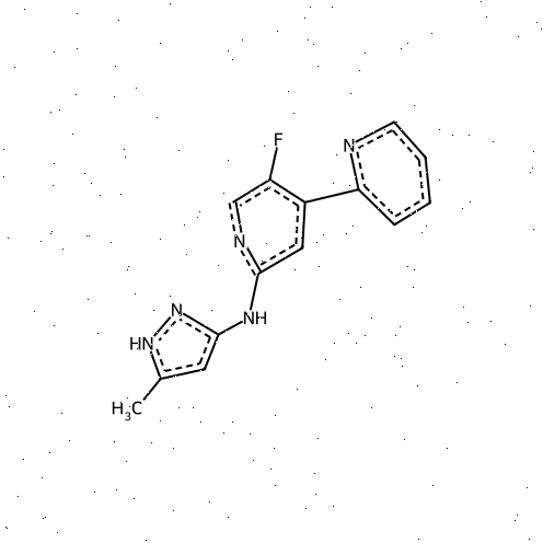 Cc1cc(Nc2cc(-c3ccccn3)c(F)cn2)n[nH]1